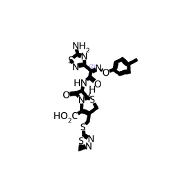 Cc1ccc(O/N=C(\C(=O)NC2C(=O)N3C(C(=O)O)=C(CSc4nncs4)CS[C@H]23)c2nsc(N)n2)cc1